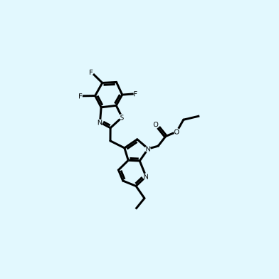 CCOC(=O)Cn1cc(Cc2nc3c(F)c(F)cc(F)c3s2)c2ccc(CC)nc21